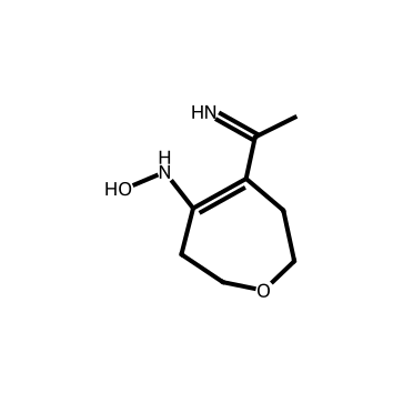 CC(=N)C1=C(NO)CCOCC1